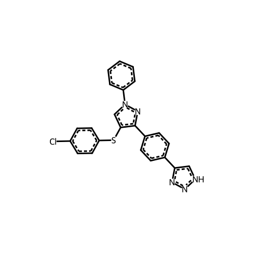 Clc1ccc(Sc2cn(-c3ccccc3)nc2-c2ccc(-c3c[nH]nn3)cc2)cc1